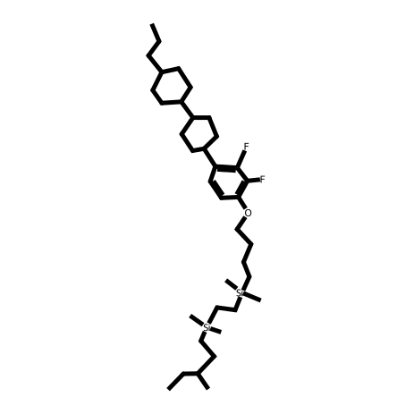 CCCC1CCC(C2CCC(c3ccc(OCCCC[Si](C)(C)CC[Si](C)(C)CCC(C)CC)c(F)c3F)CC2)CC1